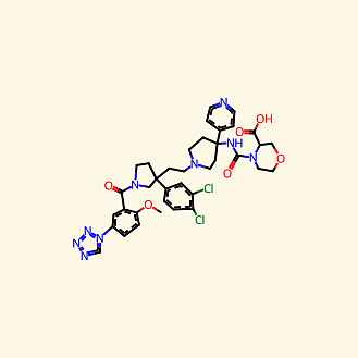 COc1ccc(-n2cnnn2)cc1C(=O)N1CCC(CCN2CCC(NC(=O)N3CCOCC3C(=O)O)(c3ccncc3)CC2)(c2ccc(Cl)c(Cl)c2)C1